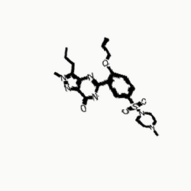 C=CCOc1ccc(S(=O)(=O)N2CCN(C)CC2)cc1C1=Nc2c(nn(C)c2CCC)C(=O)[N]1